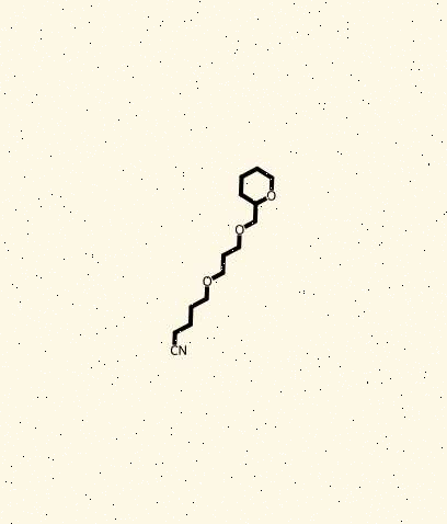 N#CCCCCOCCCOCC1CCCCO1